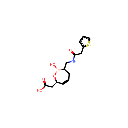 O=C(O)C[C@@H]1C=CCC(CNC(=O)Cc2cccs2)B(O)O1